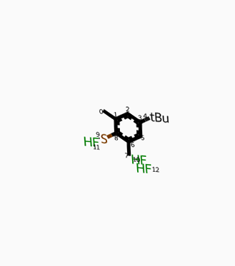 Cc1cc(C(C)(C)C)cc(C)c1[S].F.F.F